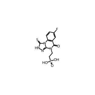 O=c1c2cc(F)ccc2n2c(=S)[nH]nc2n1CCP(=O)(O)O